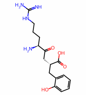 N=C(N)NCCC[C@H](N)C(=O)C[C@@H](Cc1ccccc1O)C(=O)O